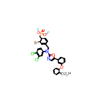 O=C(O)c1ccccc1Oc1cccc(-c2cnc(N(Cc3ccc(CP(=O)(OF)OF)c(Br)c3)c3ccc(Cl)c(Cl)c3)o2)c1